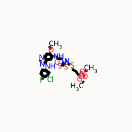 CCOc1cc2ncnc(Nc3ccc(F)c(Cl)c3)c2cc1NC(=O)Cn1nc(SCCCP(=O)(OCC)OCC)sc1=S